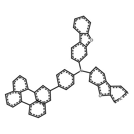 c1ccc(-c2cccc3cccc(-c4cccc(-c5ccc(N(c6ccc7c(c6)oc6ccccc67)c6ccc7c(c6)oc6ccccc67)cc5)c4)c23)cc1